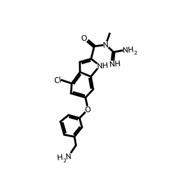 CN(C(=N)N)C(=O)c1cc2c(Cl)cc(Oc3cccc(CN)c3)cc2[nH]1